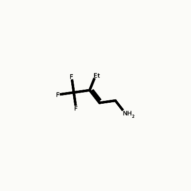 CC/C(=C\CN)C(F)(F)F